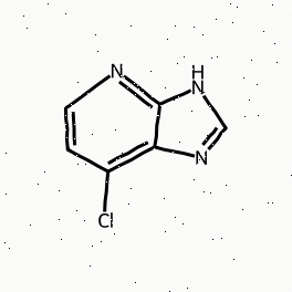 Clc1ccnc2[nH]cnc12